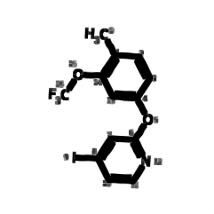 Cc1ccc(Oc2cc(I)ccn2)cc1OC(F)(F)F